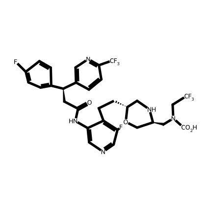 O=C(C[C@@H](c1ccc(F)cc1)c1ccc(C(F)(F)F)nc1)Nc1cncc(F)c1CC[C@@H]1CN[C@@H](CN(CC(F)(F)F)C(=O)O)CO1